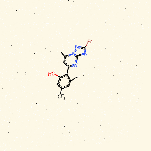 Cc1cc(C(F)(F)F)cc(O)c1-c1cc(C)n2nc(Br)nc2n1